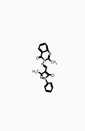 Cc1nn(-c2ccccc2)c(Cl)c1/C=N/n1c(C)nc2ccccc2c1=O